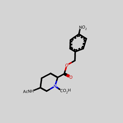 CC(=O)NC1CCC(C(=O)OCc2ccc([N+](=O)[O-])cc2)N(C(=O)O)C1